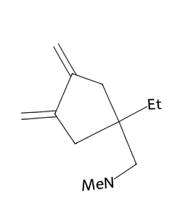 C=C1CC(CC)(CNC)CC1=C